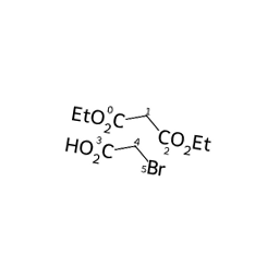 CCOC(=O)CC(=O)OCC.O=C(O)CBr